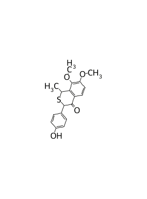 COc1ccc2c(c1OC)C(C)SC(c1ccc(O)cc1)C2=O